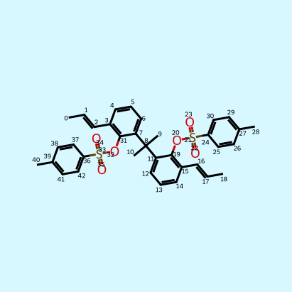 CC=Cc1cccc(C(C)(C)c2cccc(C=CC)c2OS(=O)(=O)c2ccc(C)cc2)c1OS(=O)(=O)c1ccc(C)cc1